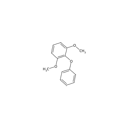 COc1cccc(OC)c1Oc1cc[c]cc1